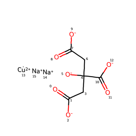 O=C([O-])CC([O-])(CC(=O)[O-])C(=O)[O-].[Cu+2].[Na+].[Na+]